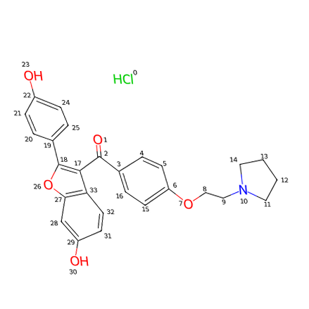 Cl.O=C(c1ccc(OCCN2CCCC2)cc1)c1c(-c2ccc(O)cc2)oc2cc(O)ccc12